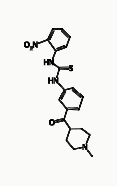 CN1CCC(C(=O)c2cccc(NC(=S)Nc3ccccc3[N+](=O)[O-])c2)CC1